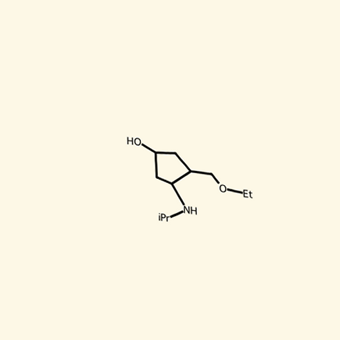 CCOCC1CC(O)CC1NC(C)C